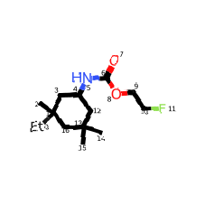 CCC1(C)CC(NC(=O)OCCF)CC(C)(C)C1